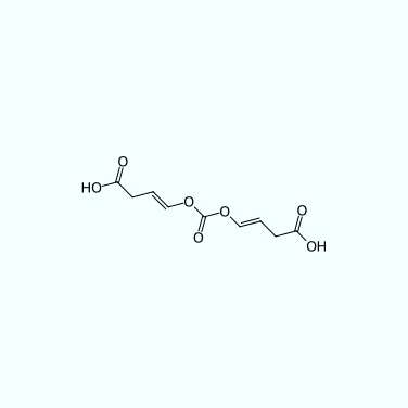 O=C(O)CC=COC(=O)OC=CCC(=O)O